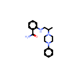 CC(CNc1ccccc1C(N)=O)N1CCN(c2ccccc2)CC1